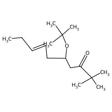 CCC=CCC(CC(=O)C(C)(C)C)OC(C)(C)C